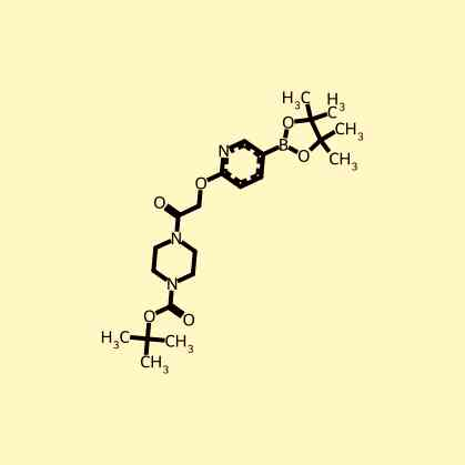 CC(C)(C)OC(=O)N1CCN(C(=O)COc2ccc(B3OC(C)(C)C(C)(C)O3)cn2)CC1